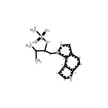 CC(C)C(Cn1ncc2ccc3occc3c21)OS(C)(=O)=O